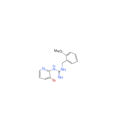 COc1ccccc1CNC(=N)Nc1ncccc1Br